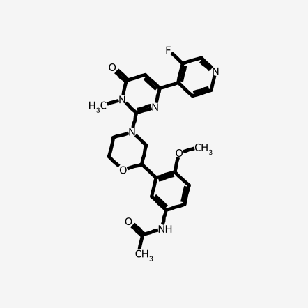 COc1ccc(NC(C)=O)cc1C1CN(c2nc(-c3ccncc3F)cc(=O)n2C)CCO1